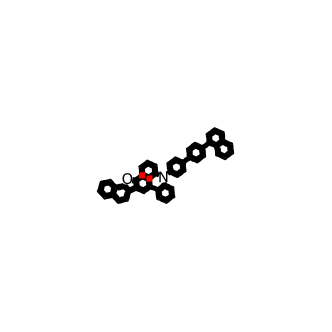 c1ccc(N(c2ccc(-c3ccc(-c4cccc5ccccc45)cc3)cc2)c2ccccc2-c2ccc3oc4c5ccccc5ccc4c3c2)cc1